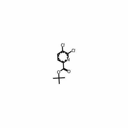 CC(C)(C)OC(=O)c1ccc(Cl)c(Cl)n1